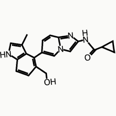 Cc1c[nH]c2ccc(CO)c(-c3ccc4nc(NC(=O)C5CC5)cn4c3)c12